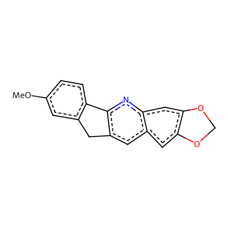 COc1ccc2c(c1)Cc1cc3cc4c(cc3nc1-2)OCO4